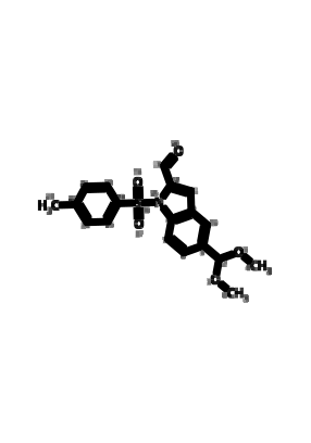 COC(OC)c1ccc2c(c1)cc(C=O)n2S(=O)(=O)c1ccc(C)cc1